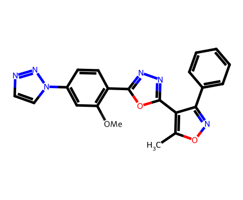 COc1cc(-n2ccnn2)ccc1-c1nnc(-c2c(-c3ccccc3)noc2C)o1